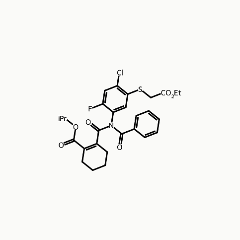 CCOC(=O)CSc1cc(N(C(=O)C2=C(C(=O)OC(C)C)CCCC2)C(=O)c2ccccc2)c(F)cc1Cl